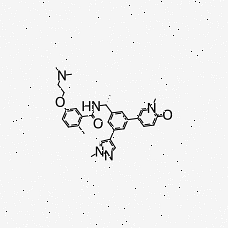 Cc1ccc(OCCN(C)C)cc1C(=O)N[C@H](C)c1cc(-c2cnn(C)c2)cc(-c2ccc(=O)n(C)c2)c1